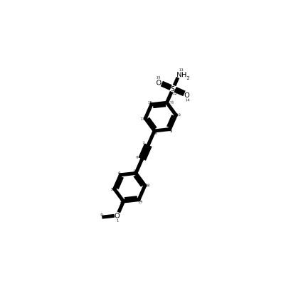 COc1ccc(C#Cc2ccc(S(N)(=O)=O)cc2)cc1